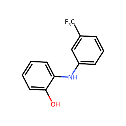 Oc1ccccc1Nc1cccc(C(F)(F)F)c1